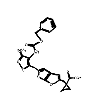 Nc1noc(-c2cc3cc(C4(C(=O)O)CC4)oc3o2)c1NC(=O)OCc1ccccc1